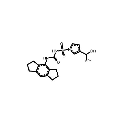 CCCC(O)c1ccn(S(=O)(=O)NC(=O)Nc2c3c(cc4c2CCC4)CCC3)c1